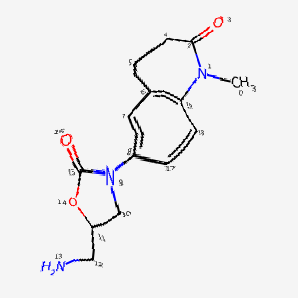 CN1C(=O)CCc2cc(N3CC(CN)OC3=O)ccc21